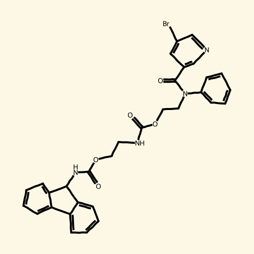 O=C(NCCOC(=O)NC1c2ccccc2-c2ccccc21)OCCN(C(=O)c1cncc(Br)c1)c1ccccc1